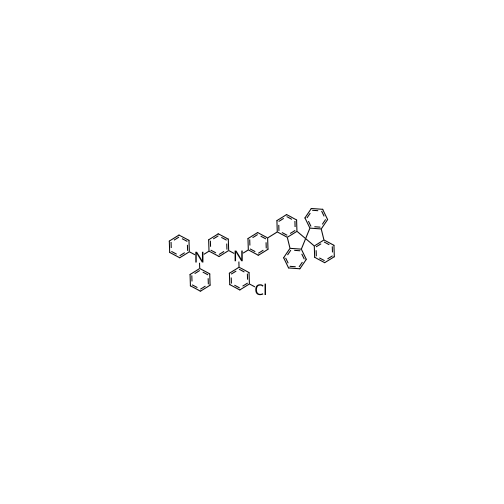 Clc1cccc(N(c2ccc(-c3cccc4c3-c3ccccc3C43c4ccccc4-c4ccccc43)cc2)c2cccc(N(c3ccccc3)c3ccccc3)c2)c1